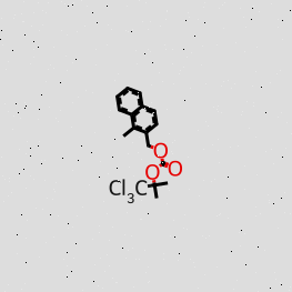 Cc1c(COC(=O)OC(C)(C)C(Cl)(Cl)Cl)ccc2ccccc12